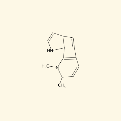 CC1C=CC2=C(N1C)C13NC=CC1C=C23